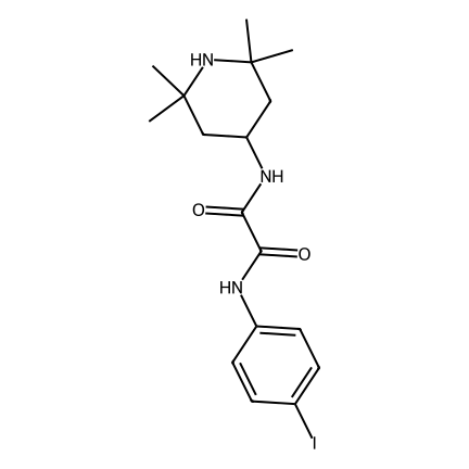 CC1(C)CC(NC(=O)C(=O)Nc2ccc(I)cc2)CC(C)(C)N1